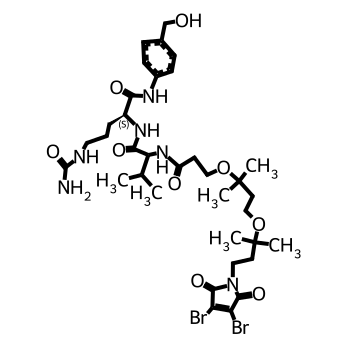 CC(C)C(NC(=O)CCOC(C)(C)CCOC(C)(C)CCN1C(=O)C(Br)=C(Br)C1=O)C(=O)N[C@@H](CCCNC(N)=O)C(=O)Nc1ccc(CO)cc1